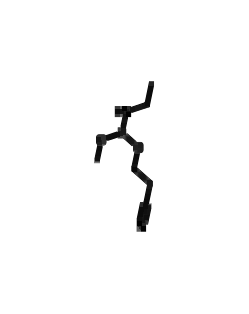 CCNP(OC)OCCC#N